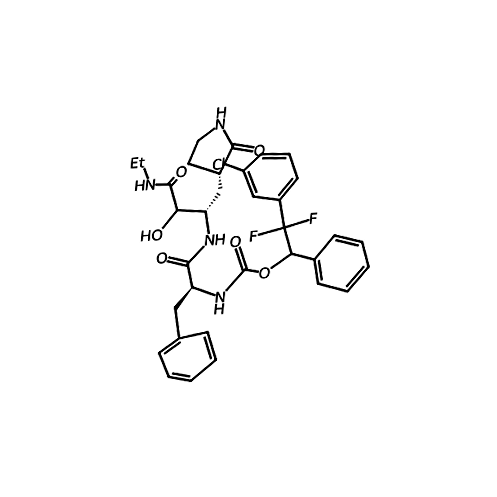 CCNC(=O)C(O)[C@H](C[C@@H]1CCNC1=O)NC(=O)[C@H](Cc1ccccc1)NC(=O)OC(c1ccccc1)C(F)(F)c1cccc(Cl)c1